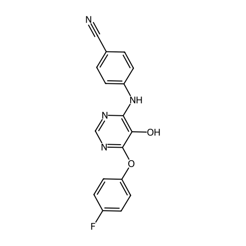 N#Cc1ccc(Nc2ncnc(Oc3ccc(F)cc3)c2O)cc1